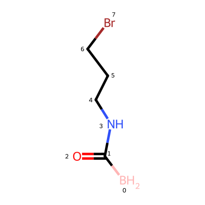 BC(=O)NCCCBr